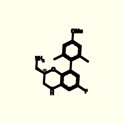 COc1cc(C)c(-c2cc(F)cc3c2O[C@H](CN)CN3)c(C)c1